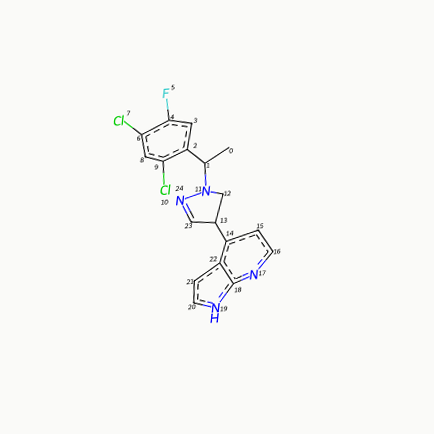 CC(c1cc(F)c(Cl)cc1Cl)N1CC(c2ccnc3[nH]ccc23)C=N1